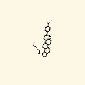 C=C(CNCCNC)[C@@H]1CC[C@]2(C(=O)O)CC[C@]3(C)[C@H](CC[C@@H]4[C@@]5(C)CC=C(c6ccc(C(=O)OC(C)(C)C)cc6)C(C)(C)[C@@H]5CC[C@]43C)[C@@H]12